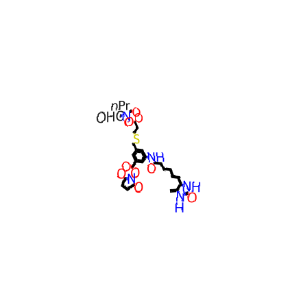 CCCC(=O)N(C=O)OC(=O)CCSCc1cc(NC(=O)CCCCCC2NC(=O)NC2C)cc(C(=O)ON2C(=O)CCC2=O)c1